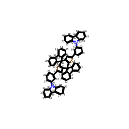 c1cc(-c2cc3c(s2)C2(c4ccccc4-c4ccccc42)c2cc(-c4cccc(-n5c6ccccc6c6ccccc65)c4)sc2C32c3ccccc3-c3ccccc32)cc(-n2c3ccccc3c3ccccc32)c1